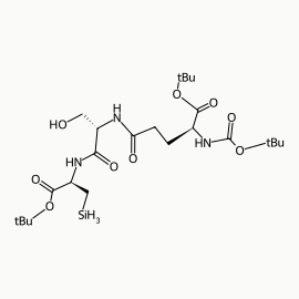 CC(C)(C)OC(=O)N[C@@H](CCC(=O)N[C@@H](CO)C(=O)N[C@@H](C[SiH3])C(=O)OC(C)(C)C)C(=O)OC(C)(C)C